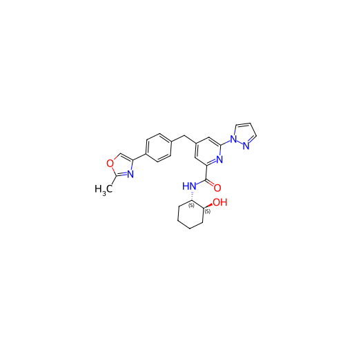 Cc1nc(-c2ccc(Cc3cc(C(=O)N[C@H]4CCCC[C@@H]4O)nc(-n4cccn4)c3)cc2)co1